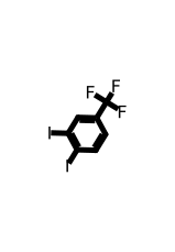 FC(F)(F)c1ccc(I)c(I)c1